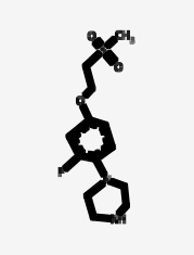 CS(=O)(=O)CCOc1ccc(N2CCNCC2)c(F)c1